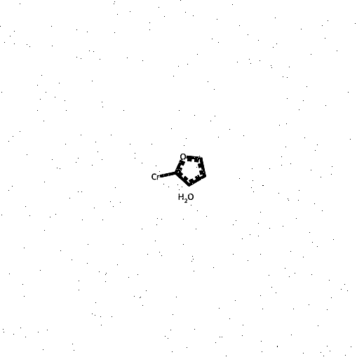 O.[Cr][c]1ccco1